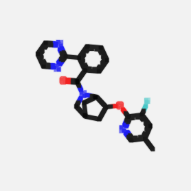 Cc1cnc(OC2CC3CC2N(C(=O)c2ccccc2-c2ncccn2)C3)c(F)c1